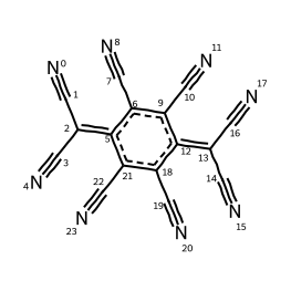 N#CC(C#N)=c1c(C#N)c(C#N)c(=C(C#N)C#N)c(C#N)c1C#N